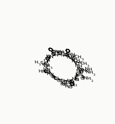 CCCC[C@H]1C(=O)N(C)[C@@H](CCCC)C(=O)N[C@@H](CCCNC(=N)N)C(=O)N[C@H](C(=O)NCC(N)=O)CSCC(=O)N[C@@H](Cc2ccc(O)cc2)C(=O)N(C)[C@@H](C)C(=O)N[C@@H](CC(N)=O)C(=O)N2CCC[C@H]2C(=O)N[C@@H](Cc2c[nH]cn2)C(=O)NCC(=O)N[C@H](CC(C)C)C(=O)N2CCC[C@H]2C(=O)N[C@@H](Cc2c[nH]c3ccccc23)C(=O)N[C@@H](CO)C(=O)N[C@@H](Cc2c[nH]c3ccccc23)C(=O)N1C